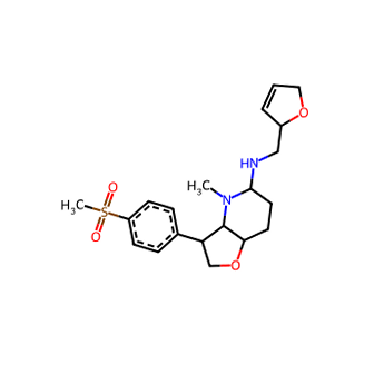 CN1C(NCC2C=CCO2)CCC2OCC(c3ccc(S(C)(=O)=O)cc3)C21